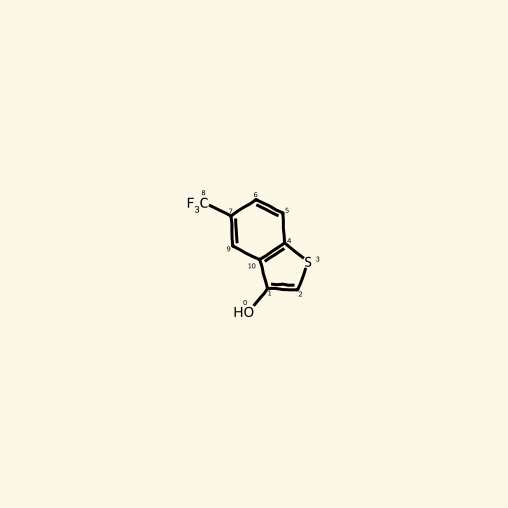 Oc1csc2ccc(C(F)(F)F)cc12